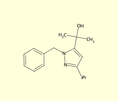 CC(C)c1cc(C(C)(C)O)n(Cc2ccccc2)n1